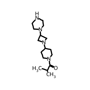 CC(C)C(=O)N1CCC(N2CC(N3CCNCC3)C2)CC1